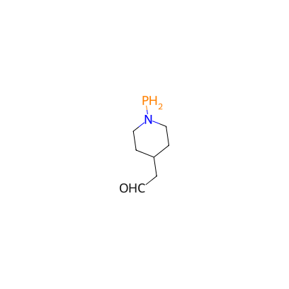 O=CCC1CCN(P)CC1